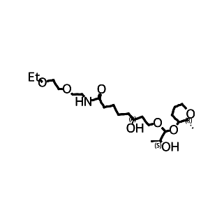 CCOCCOCCNC(=O)CCCC[C@@H](O)CCOC(OC1CCCO[C@@H]1C)[C@H](C)O